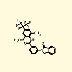 CCc1cc(C(F)(C(F)(F)F)C(F)(F)F)cc(C)c1NC(=O)c1cccc(N2Cc3ccccc3C2=O)c1